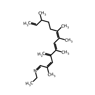 C=CC(C)CC/C(C)=C(C)\C=C(/C)C(=C)/C=C(C)\C=N/CC